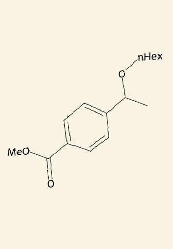 CCCCCCOC(C)c1ccc(C(=O)OC)cc1